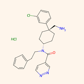 Cl.NC[C@]1(c2cccc(Cl)c2)CC[C@@H](N(CCc2ccccc2)C(=O)c2ccnnc2)CC1